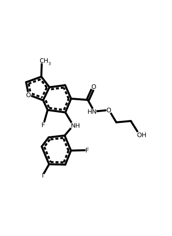 Cc1coc2c(F)c(Nc3ccc(I)cc3F)c(C(=O)NOCCO)cc12